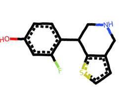 Oc1ccc(C2CNCc3ccsc32)c(F)c1